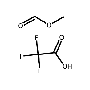 COC=O.O=C(O)C(F)(F)F